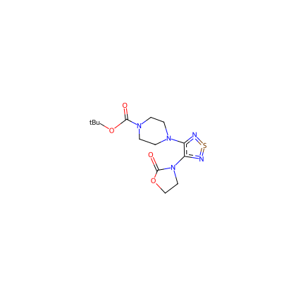 CC(C)(C)OC(=O)N1CCN(c2nsnc2N2CCOC2=O)CC1